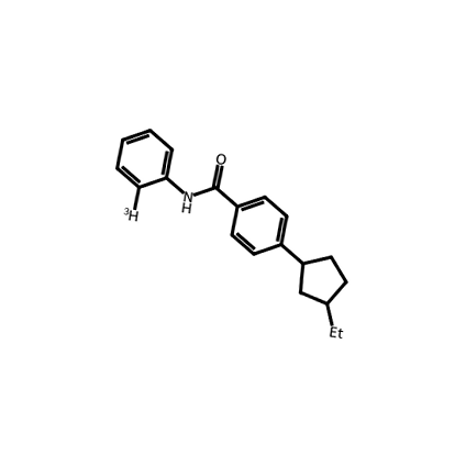 [3H]c1ccccc1NC(=O)c1ccc(C2CCC(CC)C2)cc1